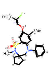 CCOC(=O)/C(F)=C/Oc1cc2c(cc1SC)N(c1ccccc1)CC1(CCCC1)N(C)S2(=O)=O